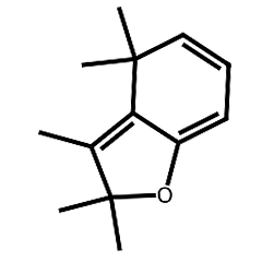 CC1=C2C(=CC=CC2(C)C)OC1(C)C